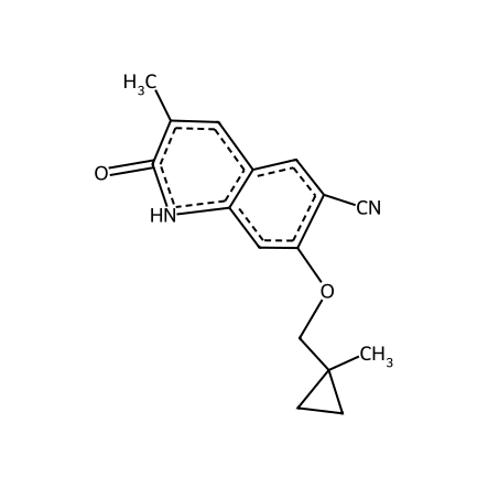 Cc1cc2cc(C#N)c(OCC3(C)CC3)cc2[nH]c1=O